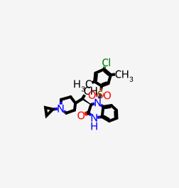 [CH2]C(C1CCN(C2CC2)CC1)[C@@H]1C(=O)Nc2ccccc2N1S(=O)(=O)c1cc(C)c(Cl)cc1C